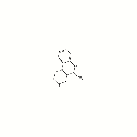 NC1Nc2ccccc2N2CCNCC12